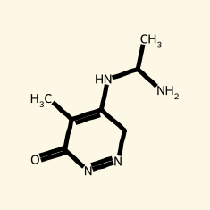 CC1=C(NC(C)N)CN=NC1=O